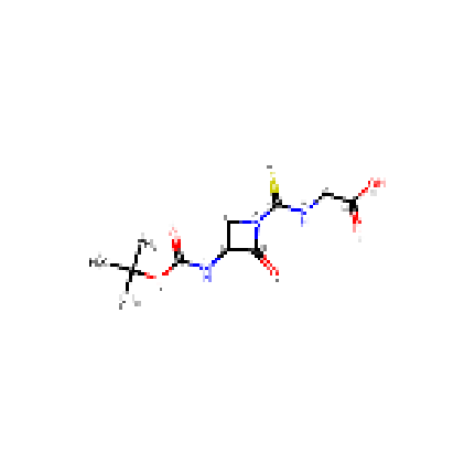 CC(C)(C)OC(=O)NC1CN(C(=S)NCC(=O)O)C1=O